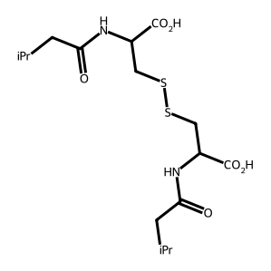 CC(C)CC(=O)NC(CSSCC(NC(=O)CC(C)C)C(=O)O)C(=O)O